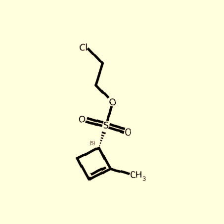 CC1=CC[C@@H]1S(=O)(=O)OCCCl